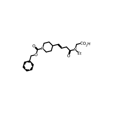 CCN(CC(=O)O)C(=O)CC=CC1CCN(C(=O)OCc2ccccc2)CC1